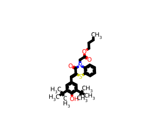 CCCCOC(=O)CN1C(=O)/C(=C/c2cc(C(C)(C)C)c(O)c(C(C)(C)C)c2)Sc2ccccc21